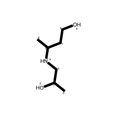 CC(O)CNC(C)CCO